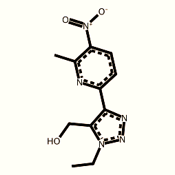 CCn1nnc(-c2ccc([N+](=O)[O-])c(C)n2)c1CO